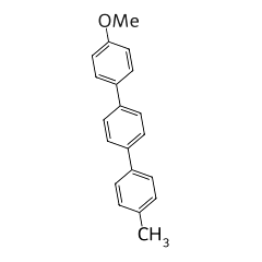 COc1ccc(-c2ccc(-c3ccc(C)cc3)cc2)cc1